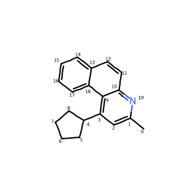 Cc1cc(C2CCCC2)c2c(ccc3ccccc32)n1